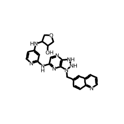 OC1COCC1Nc1ccnc(Nc2cnc3c(n2)N(Cc2ccc4ncccc4c2)NN3)c1